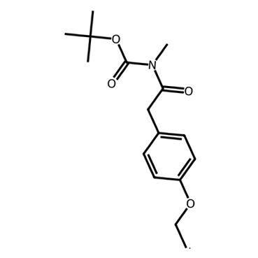 [CH2]COc1ccc(CC(=O)N(C)C(=O)OC(C)(C)C)cc1